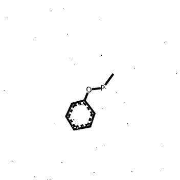 C[P]Oc1ccccc1